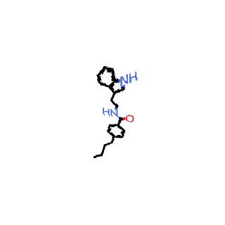 CCCCc1ccc(C(=O)NCCc2c[nH]c3ccccc23)cc1